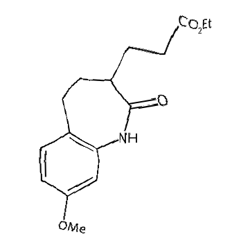 CCOC(=O)CCC1CCc2ccc(OC)cc2NC1=O